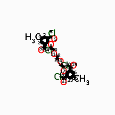 Cc1cc(C(=O)Cl)c(OCCOCCOCCOc2c(C(=O)Cl)cc(C)cc2C(=O)Cl)c(C(=O)Cl)c1